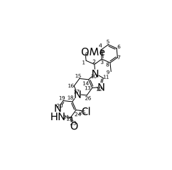 COCC(c1ccccc1C)n1cnc2c1CCN(c1cn[nH]c(=O)c1Cl)C2